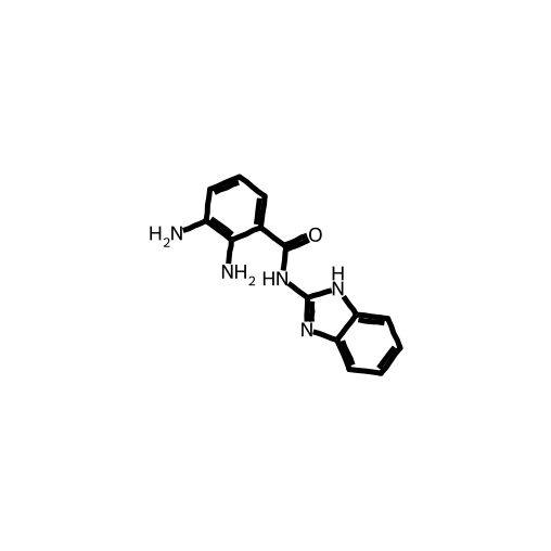 Nc1cccc(C(=O)Nc2nc3ccccc3[nH]2)c1N